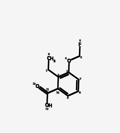 CCc1c(OCF)cccc1C(=O)O